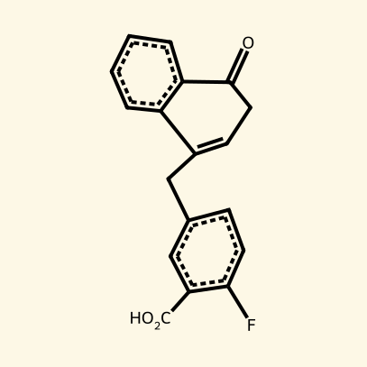 O=C(O)c1cc(CC2=CCC(=O)c3ccccc32)ccc1F